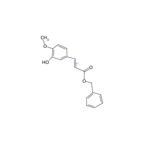 COc1ccc(/C=C/C(=O)OCc2ccccc2)cc1O